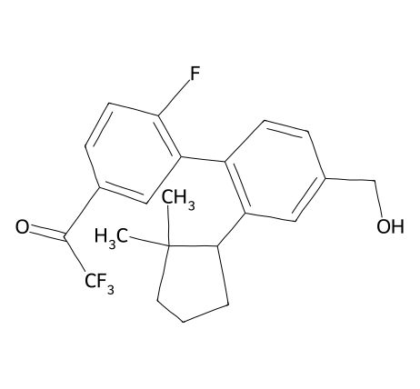 CC1(C)CCCC1c1cc(CO)ccc1-c1cc(C(=O)C(F)(F)F)ccc1F